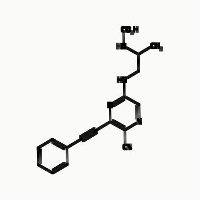 CC(CNc1cnc(C#N)c(C#Cc2ccccc2)n1)NC(=O)O